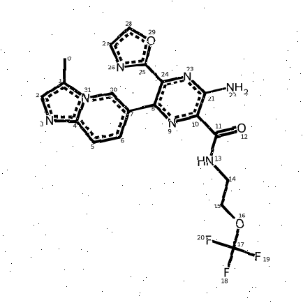 Cc1cnc2ccc(-c3nc(C(=O)NCCOC(F)(F)F)c(N)nc3-c3ncco3)cn12